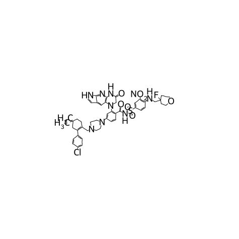 CC1(C)CCC(CN2CCN(c3ccc(C(=O)NS(=O)(=O)c4ccc(NCC5(F)CCOCC5)c([N+](=O)[O-])c4)c(N4CC(=O)Nc5nc6[nH]ccc6cc54)c3)CC2)=C(c2ccc(Cl)cc2)C1